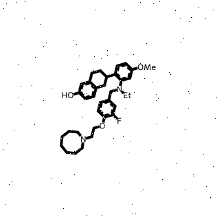 CCN(Cc1ccc(OCCN2CCCCCCC2)c(F)c1)c1cc(OC)ccc1C1CCc2cc(O)ccc2C1